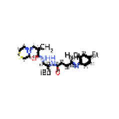 C=C(CN1CCSCC1)C(=O)NCC(NC(=O)CC/C(C)=N/c1ccc(CC)cc1C)C(C)CC